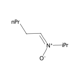 CCCC/C=[N+](\[O-])C(C)C